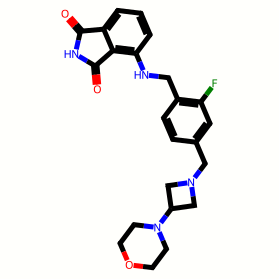 O=C1NC(=O)c2c(NCc3ccc(CN4CC(N5CCOCC5)C4)cc3F)cccc21